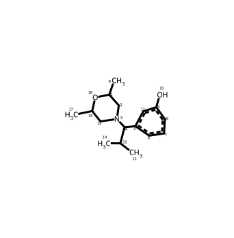 CC1CN(C(c2cccc(O)c2)C(C)C)CC(C)O1